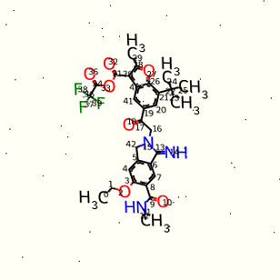 CCOc1cc2c(cc1C(=O)NC)C(=N)N(CC(=O)c1cc(C(C)(C)C)c3oc(C)c(C(=O)OC(=O)C(F)(F)F)c3c1)C2